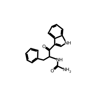 NC(=O)NC(Cc1ccccc1)C(=O)c1c[nH]c2ccccc12